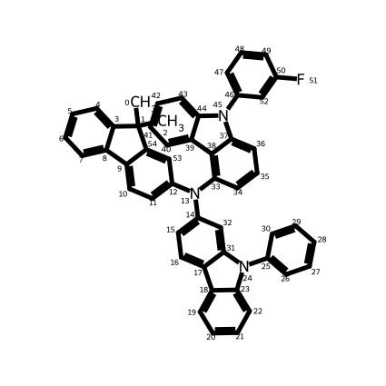 CC1(C)c2ccccc2-c2ccc(N(c3ccc4c5ccccc5n(-c5ccccc5)c4c3)c3cccc4c3c3ccccc3n4-c3cccc(F)c3)cc21